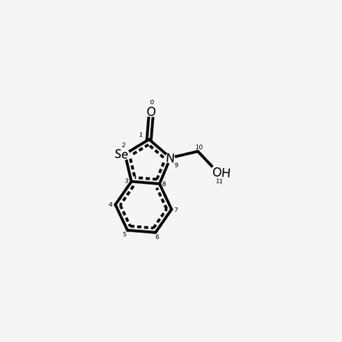 O=c1[se]c2ccccc2n1CO